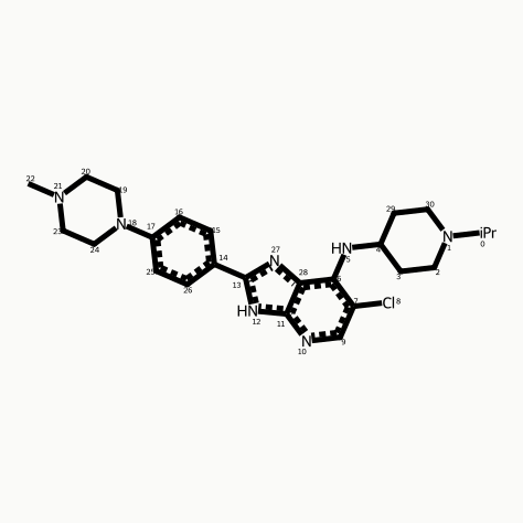 CC(C)N1CCC(Nc2c(Cl)cnc3[nH]c(-c4ccc(N5CCN(C)CC5)cc4)nc23)CC1